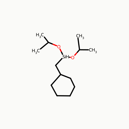 CC(C)O[SiH](CC1CCCCC1)OC(C)C